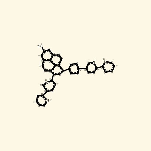 CC(C)(C)c1cc2ccc3c(-c4ccc(-c5ccc(-c6ccccn6)nc5)cc4)cc(-c4ccc(-c5ccccn5)cc4)c4ccc(c1)c2c34